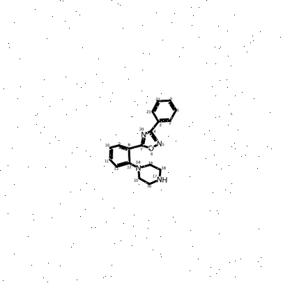 c1ccc(-c2noc(-c3ccccc3N3CCNCC3)n2)cc1